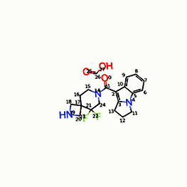 O=C(c1c2n(c3ccccc13)CCC2)N1CCC2(CNC2)C(F)(F)C1.O=CO